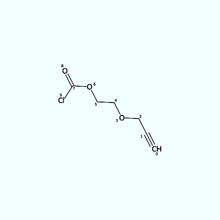 C#CCOCCOC(=O)Cl